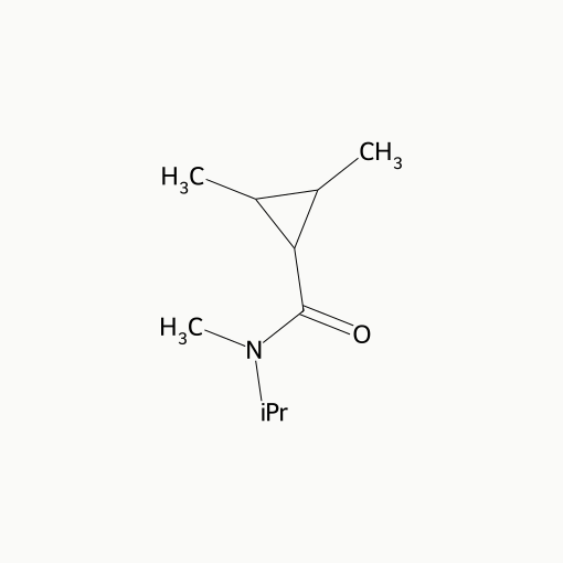 CC1C(C)C1C(=O)N(C)C(C)C